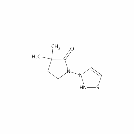 CC1(C)CCN(N2C=CSN2)C1=O